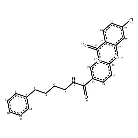 O=C(NCCCCc1cccnc1)c1ccc2nc3cc(Cl)ccc3c(=O)n2c1